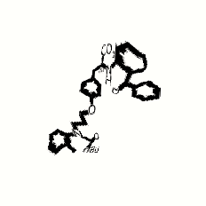 CCCCC(=O)N(CCCOc1ccc(C[C@H](Nc2ccccc2C(=O)c2ccccc2)C(=O)O)cc1)c1ccccc1C